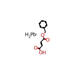 O=C(O)/C=C/C(=O)OCc1ccccc1.[PbH2]